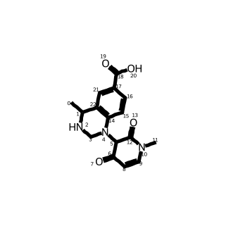 CC1NCN(C2C(=O)C=CN(C)C2=O)c2ccc(C(=O)O)cc21